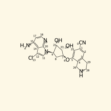 N#Cc1cc2c(c(O[C@H]3C[C@@H](n4cc(Cl)c5c(N)ccnc54)[C@H](O)[C@@H]3O)c1)CNCC2